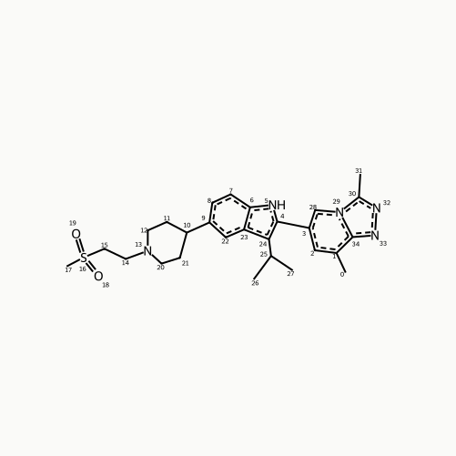 Cc1cc(-c2[nH]c3ccc(C4CCN(CCS(C)(=O)=O)CC4)cc3c2C(C)C)cn2c(C)nnc12